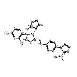 C[S+]([O-])c1nncn1-c1ccc(OC[C@@H]2CO[C@@](Cn3ccnc3)(c3ccc(Cl)cc3Cl)O2)cc1